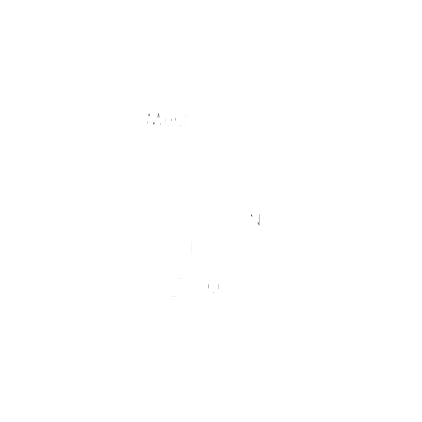 COc1ccc(CN2CC[C@H](OC(C)(F)F)C2)cc1